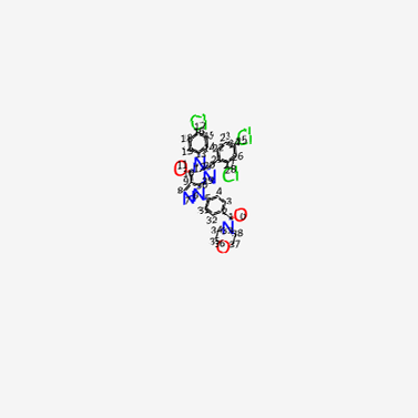 O=C(c1ccc(-n2ncc3c(=O)n(-c4ccc(Cl)cc4)c(-c4ccc(Cl)cc4Cl)nc32)cc1)N1CCOCC1